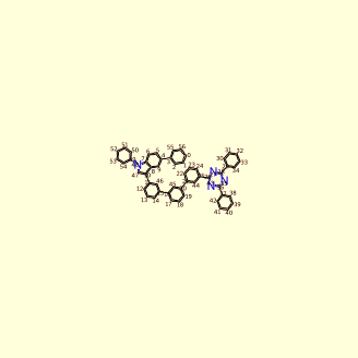 c1ccc(-c2ccc3c(c2)c(-c2cccc(-c4cccc(-c5cccc(-c6nc(-c7ccccc7)nc(-c7ccccc7)n6)c5)c4)c2)cn3-c2ccccc2)cc1